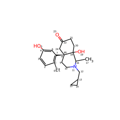 CCc1ccc(O)cc1[C@]12CCN(CC3CC3)C(C)C1(O)CCC(=O)C2